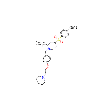 CCOC(=O)C1CC(S(=O)(=O)c2ccc(OC)cc2)CCN1Cc1ccc(OCCN2CCCCC2)cc1